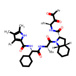 CCC[C@H](NC(=O)[C@@H]1C[C@@H]2CCCC[C@@H]2N1C(=O)[C@@H](NC(=O)[C@@H](NC(=O)c1[nH]c(C)c(C)c1C(C)=O)C1CCCCC1)C(C)(C)C)C(=O)C(=O)C(C)C